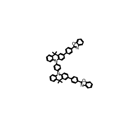 CC1(C)c2ccccc2N(c2ccc(N3c4ccccc4C(C)(C)c4cc(-c5ccc(-c6nc7ccccc7o6)cc5)ccc43)cc2)c2ccc(-c3ccc(-c4nc5ccccc5o4)cc3)cc21